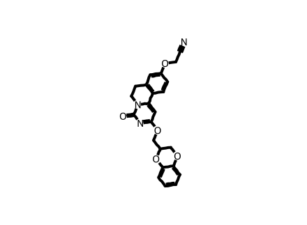 N#CCOc1ccc2c(c1)CCn1c-2cc(OCC2COc3ccccc3O2)nc1=O